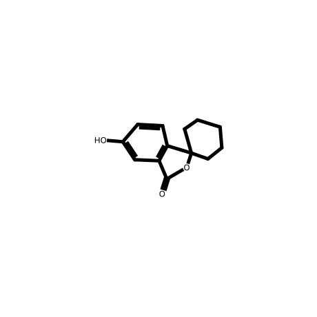 O=C1OC2(CCCCC2)c2ccc(O)cc21